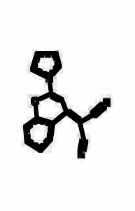 N#CC(C#N)=C1C=C(n2cccc2)Oc2ccccc21